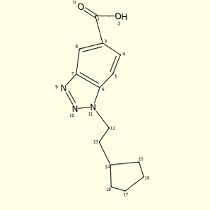 O=C(O)c1ccc2c(c1)nnn2CCC1CCCC1